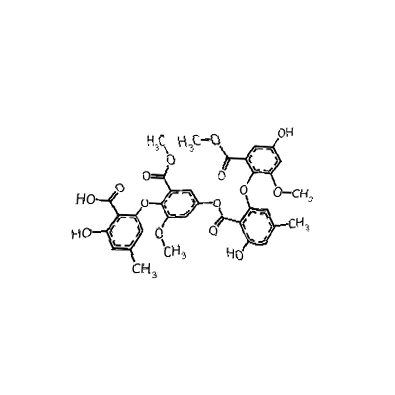 COC(=O)c1cc(OC(=O)c2c(O)cc(C)cc2Oc2c(OC)cc(O)cc2C(=O)OC)cc(OC)c1Oc1cc(C)cc(O)c1C(=O)O